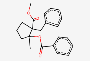 COC(=O)C1(Cc2ccccc2)CCCC1(C)OC(=O)c1ccccc1